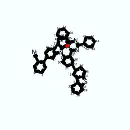 N#Cc1ccccc1-c1ccc2c3ccccc3n(-c3ccc(-c4ccc5sc6ccccc6c5c4)cc3-c3nc(-c4ccccc4)nc(-c4ccccc4)n3)c2c1